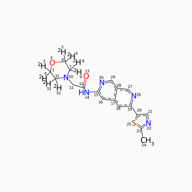 [2H]C1([2H])OC([2H])([2H])C([2H])([2H])N(CC(=O)Nc2cc3cc(-c4cnc(C)s4)ncc3cn2)C1([2H])[2H]